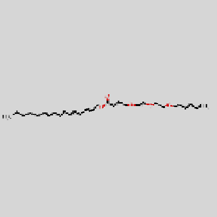 CCCCCCCCCCCCCCCCOC(=O)CCCOCCOCCOCCCCCC